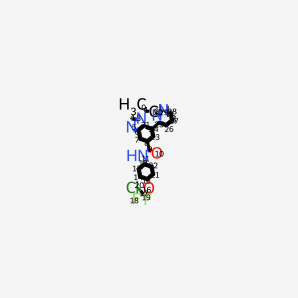 CC(C)n1cnc2cc(C(=O)Nc3ccc(OC(F)(F)Cl)cc3)cc(-c3cccnn3)c21